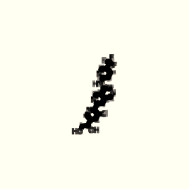 OCC(O)c1cnc(-c2cc3cnnc(Nc4ccc(C(F)(F)F)cn4)c3cn2)c(Cl)c1